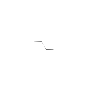 O=C(O)CCC(=O)O.[Zn]